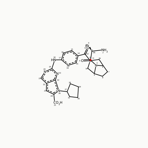 CC(C)[C@@H](N)C(=O)N1C2CCC1CN(C(=O)c1ccc(Nc3ncc4cc(C(=O)O)n(C5CCCC5)c4n3)nc1)C2